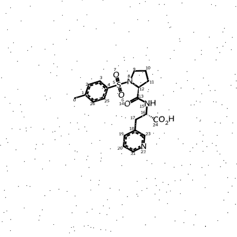 Cc1ccc(S(=O)(=O)N2CCC[C@H]2C(=O)N[C@@H](Cc2cccnc2)C(=O)O)cc1